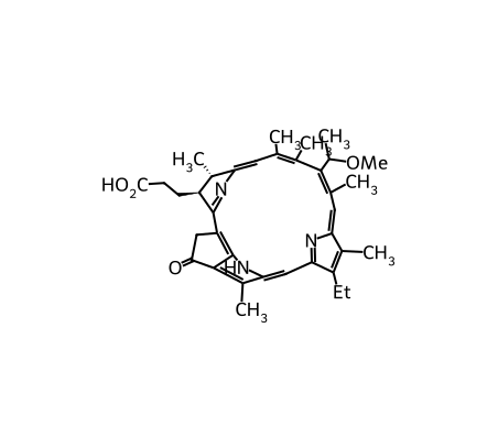 CCC1=C(C)c2cc(C)c(C(C)OC)c(C)c(C)cc3nc(c4c5[nH]c(cc1n2)c(C)c5C(=O)C4)[C@@H](CCC(=O)O)[C@@H]3C